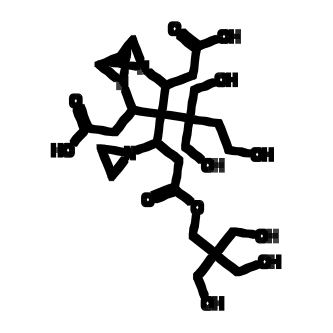 O=C(O)CC(N1CC1)C(C(CC(=O)O)N1CC1)(C(CC(=O)OCC(CO)(CO)CO)N1CC1)C(CO)(CO)CCO